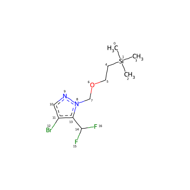 C[Si](C)(C)CCOCn1ncc(Br)c1C(F)F